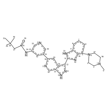 CN1CCN(c2cccc3[nH]c(-c4n[nH]c5cnc(-c6cncc(NC(=O)CC(C)(C)C)c6)cc45)nc23)CC1